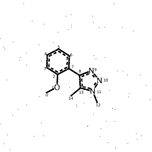 COc1ccccc1-c1nnn(C)c1C